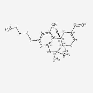 CCCCCc1cc(O)c2c(c1)OC(C)(C)[C@@H]1CC=C(C=O)C[C@@H]21